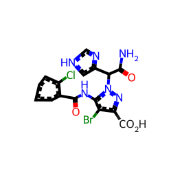 NC(=O)C(c1c[nH]cn1)n1nc(C(=O)O)c(Br)c1NC(=O)c1ccccc1Cl